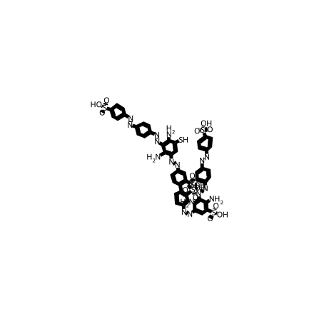 Nc1c(S)cc(N=Nc2ccc(-c3ccc(/N=N\c4cc(S(=O)(=O)O)c(N)c(/N=N/c5ccc(N=Nc6ccc(S(=O)(=O)O)cc6)cc5)c4N)cc3S(=O)(=O)O)c(S(=O)(=O)O)c2)c(N)c1/N=N/c1ccc(N=Nc2ccc(S(=O)(=O)O)cc2)cc1